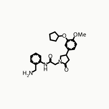 COc1ccc(C2CC(=O)N(CC(=O)Nc3ccccc3CN)C2)cc1OC1CCCC1